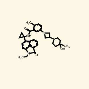 CCN1C(=O)c2cccc3c(C4(NC(=O)c5cc(N6CC(N7CCC(C)(O)CC7)C6)ccc5C)CC4)ccc1c23